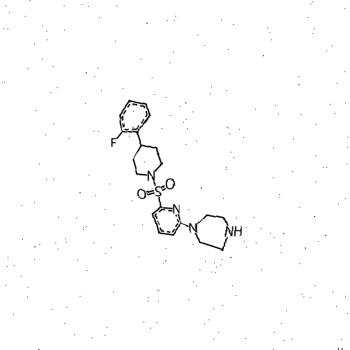 O=S(=O)(c1cccc(N2CCNCC2)n1)N1CCC(c2ccccc2F)CC1